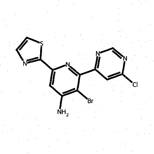 Nc1cc(-c2nccs2)nc(-c2cc(Cl)ncn2)c1Br